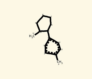 Cc1ccc(C2CCCCC2C)cc1